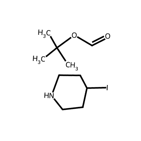 CC(C)(C)OC=O.IC1CCNCC1